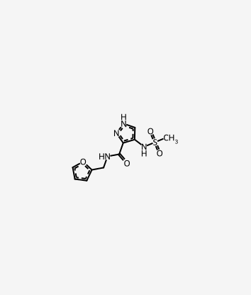 CS(=O)(=O)Nc1c[nH]nc1C(=O)NCc1ccco1